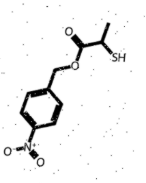 CC(S)C(=O)OCc1ccc([N+](=O)[O-])cc1